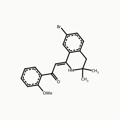 COc1ccccc1C(=O)C=C1NC(C)(C)Cc2ccc(Br)cc21